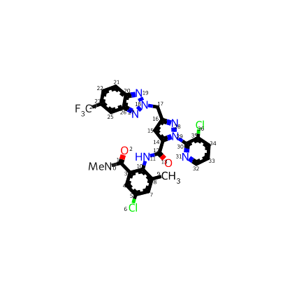 CNC(=O)c1cc(Cl)cc(C)c1NC(=O)c1cc(Cn2nc3ccc(C(F)(F)F)cc3n2)nn1-c1ncccc1Cl